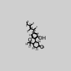 CC/C(C)=C(\C)C(C)c1cc(O)c2c(c1)OC(C)(C)C1CCC(=O)CC21